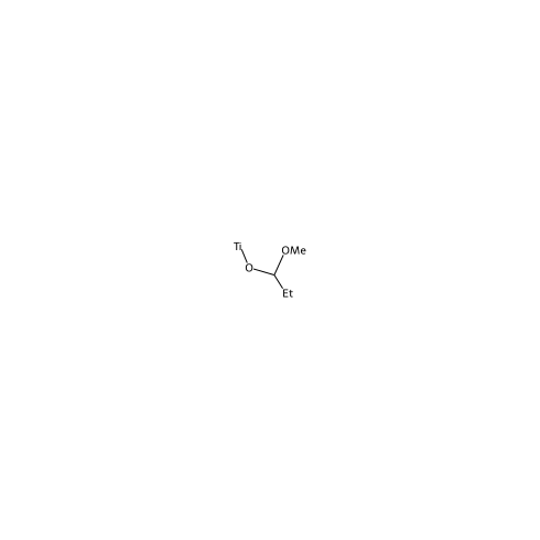 CCC(OC)[O][Ti]